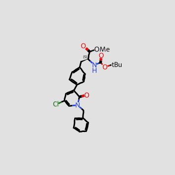 COC(=O)[C@H](Cc1ccc(-c2cc(Cl)cn(Cc3ccccc3)c2=O)cc1)NC(=O)OC(C)(C)C